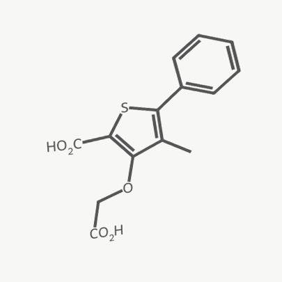 Cc1c(-c2ccccc2)sc(C(=O)O)c1OCC(=O)O